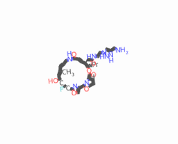 CC1=C\[C@@H](O)C[C@@H](F)Cc2nc(co2)C(=O)N2CCC[C@@H]2C(=O)OC(C(C)C)[C@H](CC(=O)NCCN2C=C(CN)NN2)/C=C/C(=O)NC\C=C\1